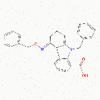 O=C(O)c1cccc2c1N(Cc1ccccc1)C1=CCCC(=NOCc3ccccc3)C12